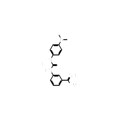 CSC(=N)c1cccc(NC(=O)Nc2ccc(N(C)C)cc2)c1.I